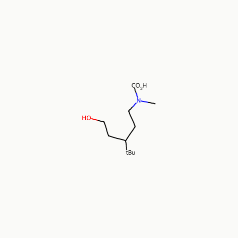 CN(CCC(CCO)C(C)(C)C)C(=O)O